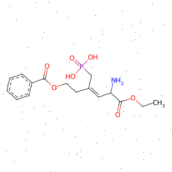 CCOC(=O)C(N)/C=C(/CCOC(=O)c1ccccc1)CP(=O)(O)O